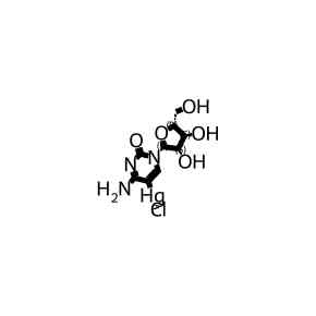 Nc1nc(=O)n([C@@H]2O[C@H](CO)[C@@H](O)[C@@H]2O)c[c]1[Hg][Cl]